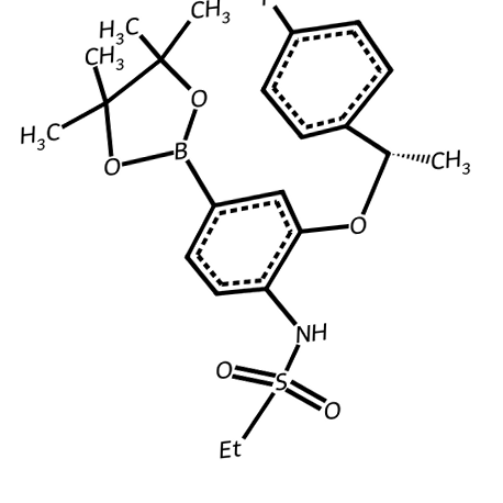 CCS(=O)(=O)Nc1ccc(B2OC(C)(C)C(C)(C)O2)cc1O[C@@H](C)c1ccc(F)cc1